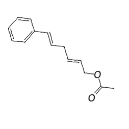 CC(=O)OC/C=C/CC=Cc1ccccc1